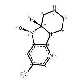 [O-][S@+]1c2cc(C(F)(F)F)cnc2N2CCNC[C@H]21